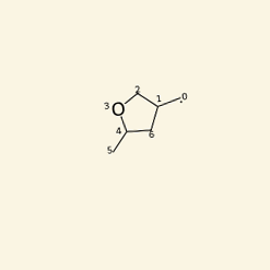 [CH2]C1COC(C)C1